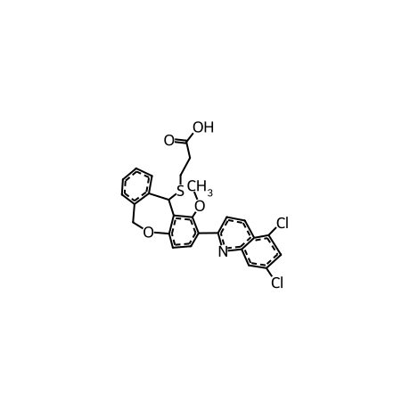 COc1c(-c2ccc3c(Cl)cc(Cl)cc3n2)ccc2c1C(SCCC(=O)O)c1ccccc1CO2